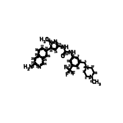 CN1CCN(Cc2cc(NC(=O)Nc3cc(-c4ccc5cc(N)ncc5c4)n(C)n3)cc(C(F)(F)F)c2)CC1